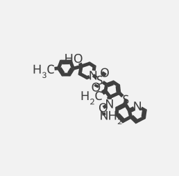 C=C1C(S(=O)(=O)N2CCC(O)(c3ccc(C)cc3)CC2)=CC=C(Sc2cccc3cccnc23)/C1=N/ON